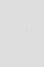 COC(=O)C(C)(C)NC(=O)C(C)(C)N